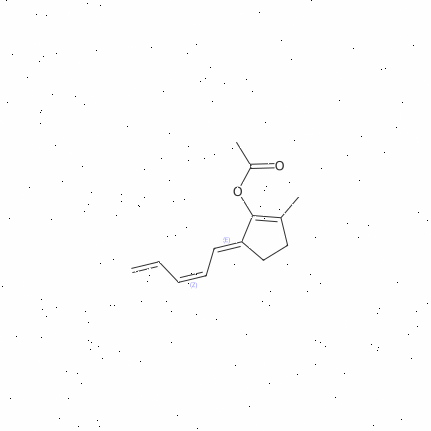 C=C/C=C\C=C1/CCC(C)=C1OC(C)=O